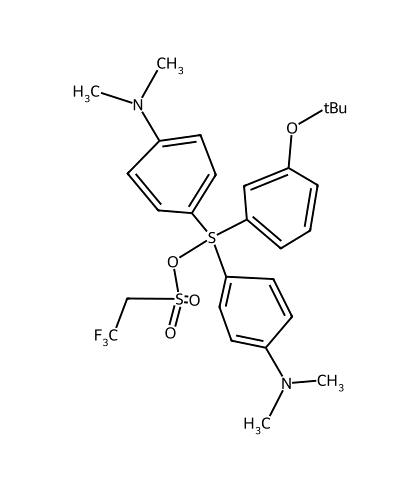 CN(C)c1ccc(S(OS(=O)(=O)CC(F)(F)F)(c2ccc(N(C)C)cc2)c2cccc(OC(C)(C)C)c2)cc1